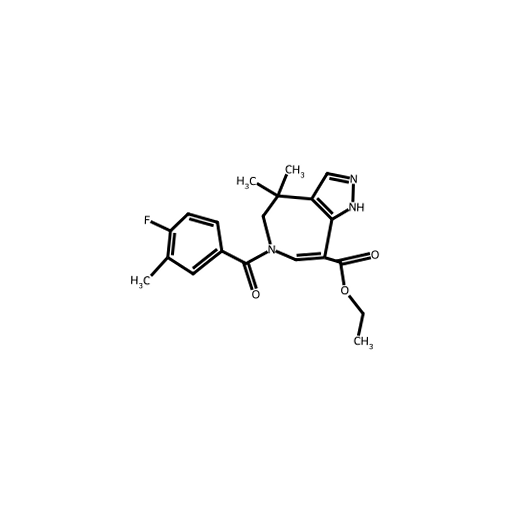 CCOC(=O)C1=CN(C(=O)c2ccc(F)c(C)c2)CC(C)(C)c2cn[nH]c21